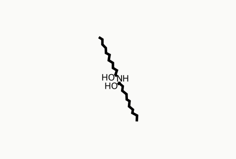 CCCCCCCCCCC(O)NC(O)CCCCCCCCCC